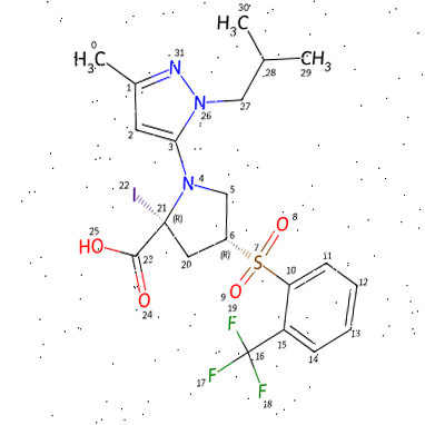 Cc1cc(N2C[C@H](S(=O)(=O)c3ccccc3C(F)(F)F)C[C@@]2(I)C(=O)O)n(CC(C)C)n1